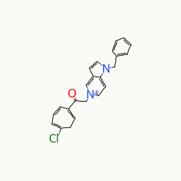 O=C(C[n+]1ccc2c(ccn2Cc2ccccc2)c1)C1=CCC(Cl)=CC=C1